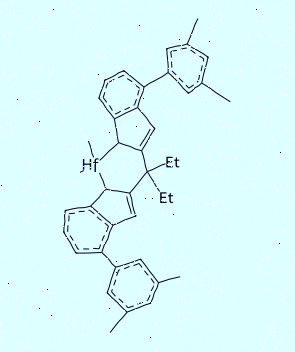 CCC1(CC)C2=Cc3c(-c4cc(C)cc(C)c4)cccc3[CH]2[Hf]([CH3])([CH3])[CH]2C1=Cc1c(-c3cc(C)cc(C)c3)cccc12